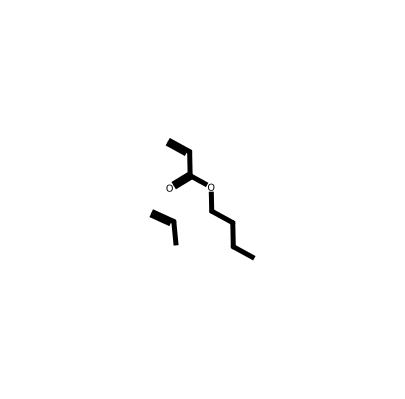 C=CC.C=CC(=O)OCCCC